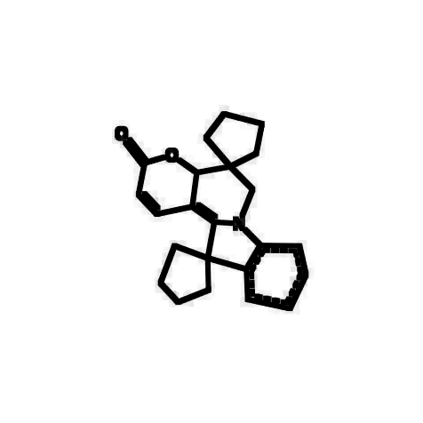 O=C1C=CC2=C3N(CC4(CCCC4)C2O1)c1ccccc1C31CCCC1